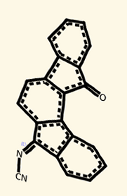 N#C/N=c1\c2ccccc2c2c1ccc1c3ccccc3c(=O)c12